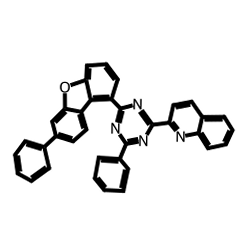 c1ccc(-c2ccc3c(c2)oc2cccc(-c4nc(-c5ccccc5)nc(-c5ccc6ccccc6n5)n4)c23)cc1